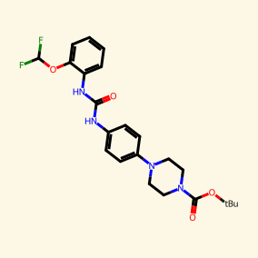 CC(C)(C)OC(=O)N1CCN(c2ccc(NC(=O)Nc3ccccc3OC(F)F)cc2)CC1